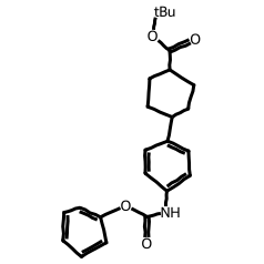 CC(C)(C)OC(=O)C1CCC(c2ccc(NC(=O)Oc3ccccc3)cc2)CC1